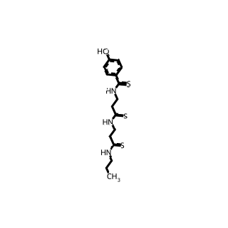 CCCNC(=S)CCNC(=S)CCNC(=S)c1ccc(O)cc1